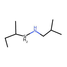 CCC(C)[SiH2]NCC(C)C